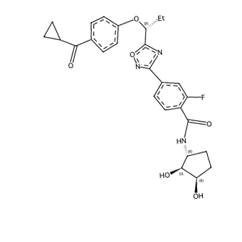 CC[C@@H](Oc1ccc(C(=O)C2CC2)cc1)c1nc(-c2ccc(C(=O)N[C@@H]3CC[C@@H](O)[C@H]3O)c(F)c2)no1